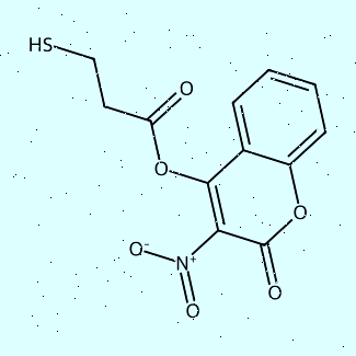 O=C(CCS)Oc1c([N+](=O)[O-])c(=O)oc2ccccc12